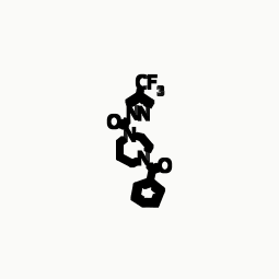 O=C(c1ccccc1)N1CCCN(C(=O)n2cc(C(F)(F)F)cn2)CC1